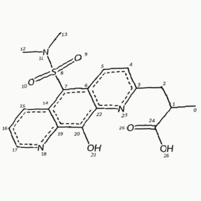 CC(Cc1ccc2c(S(=O)(=O)N(C)C)c3cccnc3c(O)c2n1)C(=O)O